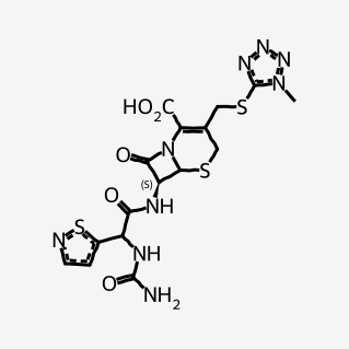 Cn1nnnc1SCC1=C(C(=O)O)N2C(=O)[C@H](NC(=O)C(NC(N)=O)c3ccns3)C2SC1